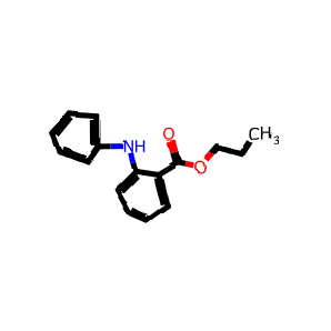 CCCOC(=O)c1ccccc1Nc1ccccc1